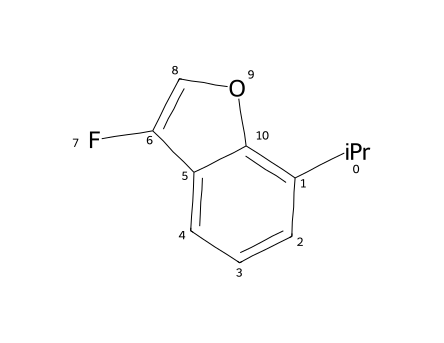 CC(C)c1cccc2c(F)coc12